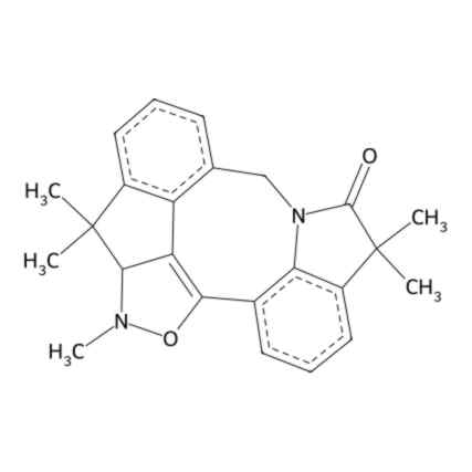 CN1OC2=C3c4c(cccc4C(C)(C)C31)CN1C(=O)C(C)(C)c3cccc2c31